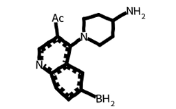 Bc1ccc2ncc(C(C)=O)c(N3CCC(N)CC3)c2c1